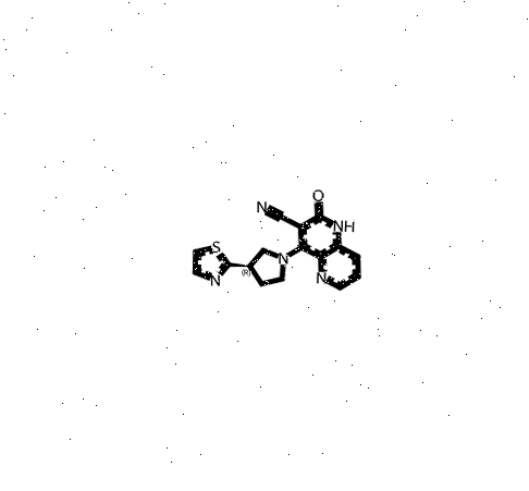 N#Cc1c(N2CC[C@@H](c3nccs3)C2)c2ncccc2[nH]c1=O